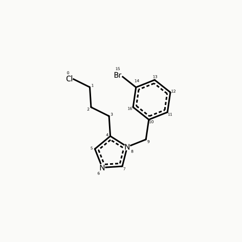 ClCCCc1cncn1Cc1cccc(Br)c1